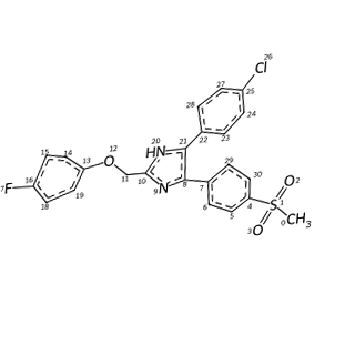 CS(=O)(=O)c1ccc(-c2nc(COc3ccc(F)cc3)[nH]c2-c2ccc(Cl)cc2)cc1